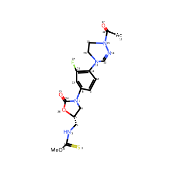 COC(=S)NC[C@H]1CN(c2ccc(N3C=NN(C(=O)C(C)=O)CC3)c(F)c2)C(=O)O1